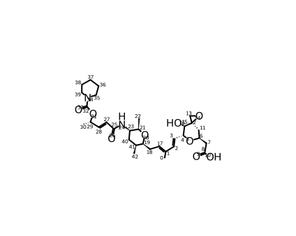 CC(C=C[C@H]1O[C@H](CC(=O)O)C[C@@]2(CO2)[C@@H]1O)=CC[C@@H]1O[C@H](C)[C@H](NC(=O)C=C[C@H](C)OC(=O)N2CCCCC2)C[C@@H]1C